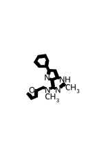 Cc1nc(N(C)Cc2ccco2)c2nc(-c3ccccc3)cc-2[nH]1